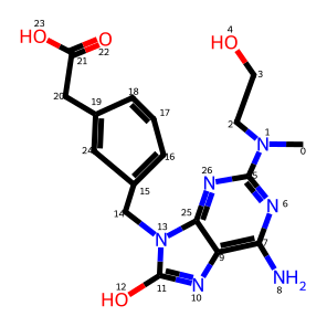 CN(CCO)c1nc(N)c2nc(O)n(Cc3cccc(CC(=O)O)c3)c2n1